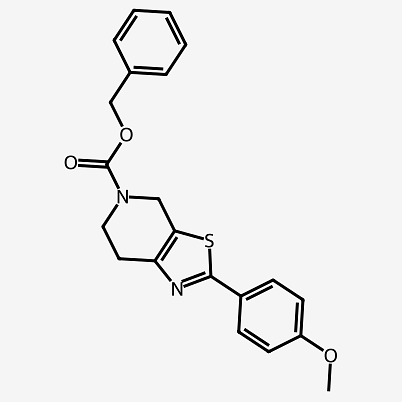 COc1ccc(-c2nc3c(s2)CN(C(=O)OCc2ccccc2)CC3)cc1